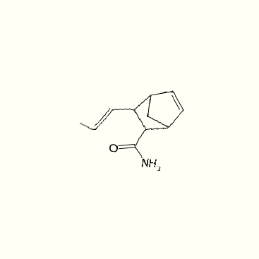 C/C=C/C1C2C=CC(C2)C1C(N)=O